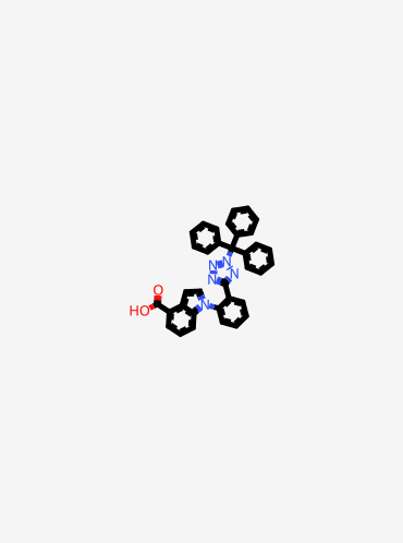 O=C(O)c1cccc2c1ccn2-c1ccccc1-c1nnn(C(c2ccccc2)(c2ccccc2)c2ccccc2)n1